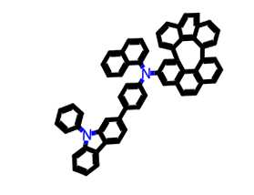 c1ccc(-n2c3ccccc3c3ccc(-c4ccc(N(c5cc6ccc7cccc8c9cccc%10ccc%11cccc(c(c5)c6c78)c%11c%109)c5cccc6ccccc56)cc4)cc32)cc1